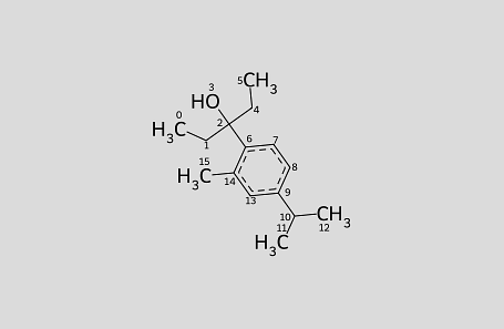 CCC(O)(CC)c1ccc(C(C)C)cc1C